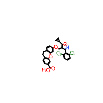 O=C(O)c1ccc2c(c1)Oc1cc(OCc3c(-c4c(Cl)cccc4Cl)noc3C3CC3)ccc1CC2